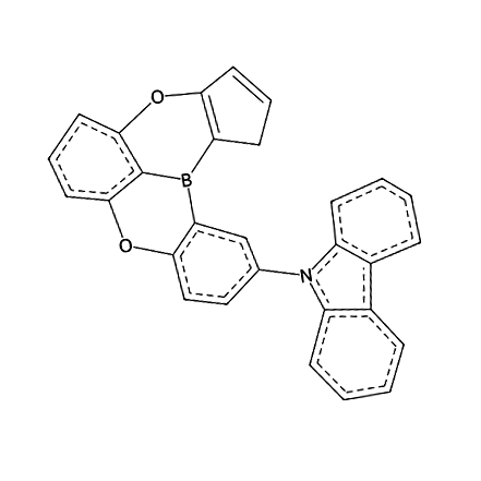 C1=CC2=C(C1)B1c3cc(-n4c5ccccc5c5ccccc54)ccc3Oc3cccc(c31)O2